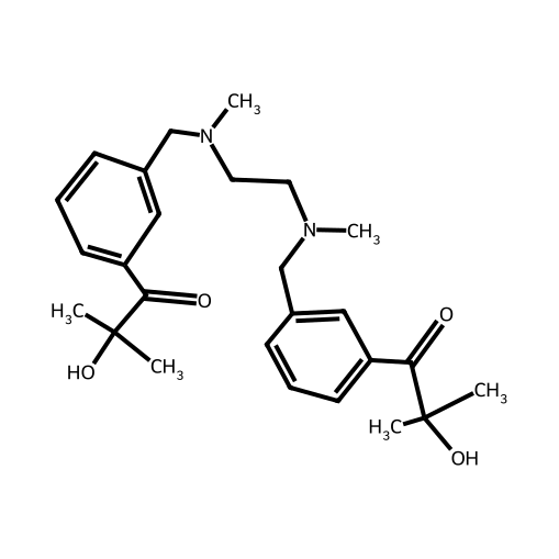 CN(CCN(C)Cc1cccc(C(=O)C(C)(C)O)c1)Cc1cccc(C(=O)C(C)(C)O)c1